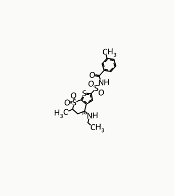 CCN[C@H]1CC(C)S(=O)(=O)c2sc(S(=O)(=O)NC(=O)c3cccc(C)c3)cc21